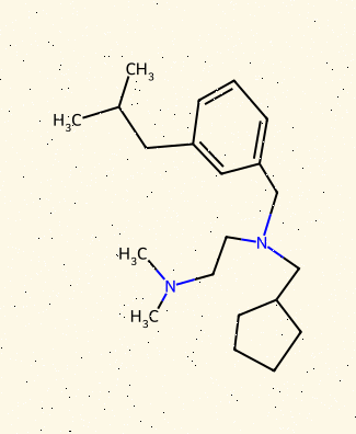 CC(C)Cc1cccc(CN(CCN(C)C)CC2CCCC2)c1